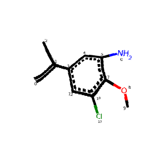 C=C(C)c1cc(N)c(OC)c(Cl)c1